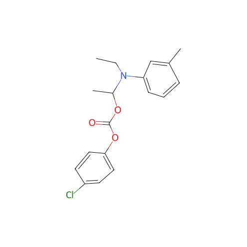 CCN(c1cccc(C)c1)C(C)OC(=O)Oc1ccc(Cl)cc1